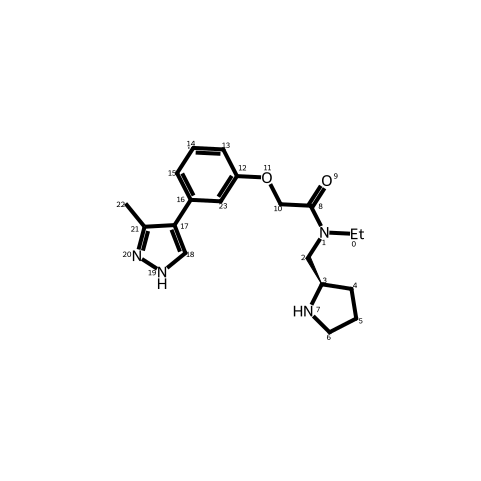 CCN(C[C@H]1CCCN1)C(=O)COc1c[c]cc(-c2c[nH]nc2C)c1